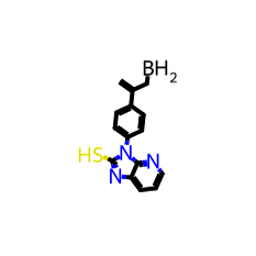 BCC(=C)c1ccc(-n2c(S)nc3cccnc32)cc1